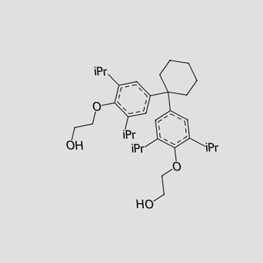 CC(C)c1cc(C2(c3cc(C(C)C)c(OCCO)c(C(C)C)c3)CCCCC2)cc(C(C)C)c1OCCO